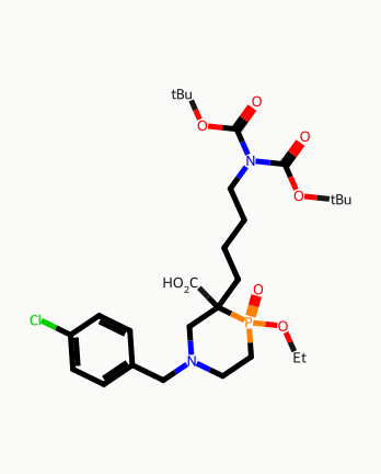 CCOP1(=O)CCN(Cc2ccc(Cl)cc2)CC1(CCCCN(C(=O)OC(C)(C)C)C(=O)OC(C)(C)C)C(=O)O